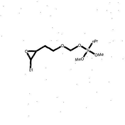 CCC[Si](OC)(OC)OCOCCC1OC1CC